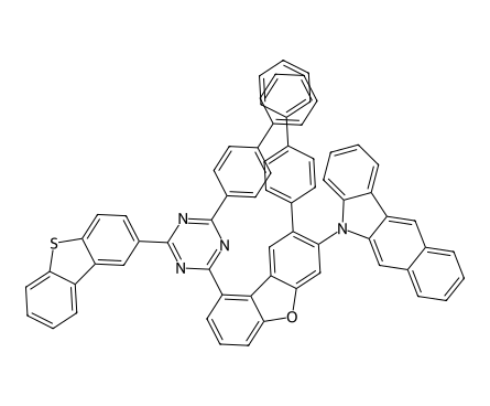 c1ccc(-c2ccc(-c3nc(-c4ccc5sc6ccccc6c5c4)nc(-c4cccc5oc6cc(-n7c8ccccc8c8cc9ccccc9cc87)c(-c7ccc(-c8ccccc8)cc7)cc6c45)n3)cc2)cc1